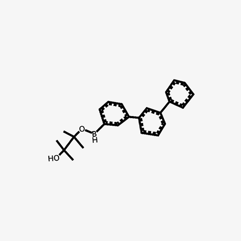 CC(C)(O)C(C)(C)OBc1cccc(-c2cccc(-c3ccccc3)c2)c1